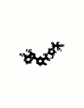 Cc1ccc(-c2cc(C(F)(F)F)c3c(N)ncnn23)cc1C(=O)N[C@@H]1CN(C(=O)C(C)(O)C(F)(F)F)C[C@@H]1F